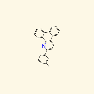 Cc1cccc(-c2ccc3c4ccccc4c4ccccc4c3n2)c1